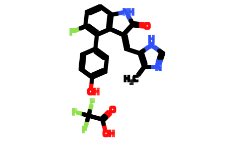 Cc1nc[nH]c1C=C1C(=O)Nc2ccc(F)c(-c3ccc(O)cc3)c21.O=C(O)C(F)(F)F